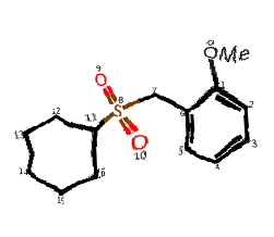 COc1ccccc1CS(=O)(=O)C1CCCCC1